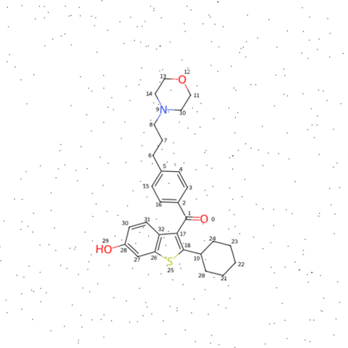 O=C(c1ccc(CCCN2CCOCC2)cc1)c1c(C2CCCCC2)sc2cc(O)ccc12